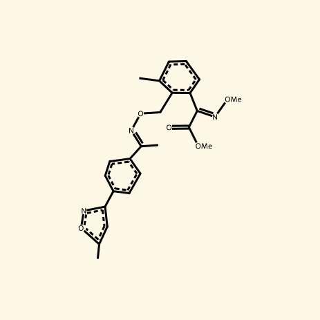 CO/N=C(/C(=O)OC)c1cccc(C)c1CO/N=C(\C)c1ccc(-c2cc(C)on2)cc1